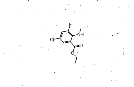 CCOC(=O)c1cc(Cl)cc(F)c1NC